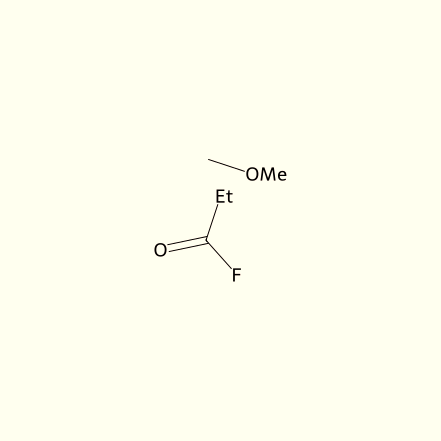 CCC(=O)F.COC